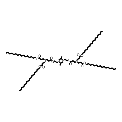 CCCCCCCCCCCCCCCCOC(=O)CCN(CCC(=O)OCCCCCCCCCCCCCCCC)CCC(=O)OCCN1CC(C)N(CCOC(=O)CCN(CCC(=O)OCCCCCCCCCCCCCCCC)CCC(=O)OCCCCCCCCCCCCCCCC)CC1C